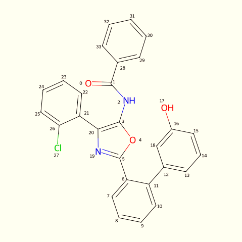 O=C(Nc1oc(-c2ccccc2-c2cccc(O)c2)nc1-c1ccccc1Cl)c1ccccc1